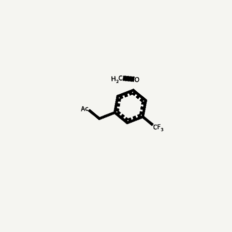 C=O.CC(=O)Cc1cccc(C(F)(F)F)c1